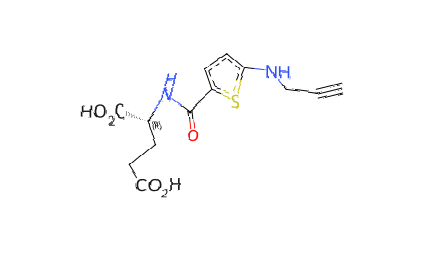 C#CCNc1ccc(C(=O)N[C@H](CCC(=O)O)C(=O)O)s1